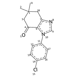 CC1(C)CC(=O)c2c(ncn2-c2ccc(Cl)cc2)C1